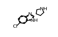 C1CCNC1.Clc1ccc2nc[nH]c2c1